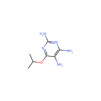 CC(C)Oc1nc(N)nc(N)c1N